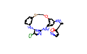 C=C(Nc1cc2cc(c1)OCCSc1cccc(c1)Nc1nc(ncc1Cl)N2)c1ccno1